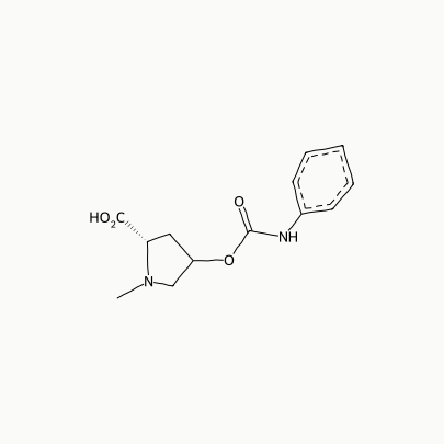 CN1CC(OC(=O)Nc2ccccc2)C[C@H]1C(=O)O